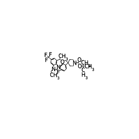 CCn1cnc2c(C(C)OCC3(c4ccc(F)cc4)CCN(C(=O)OC(C)(C)C)CC3)cc(C(F)(F)F)cc21